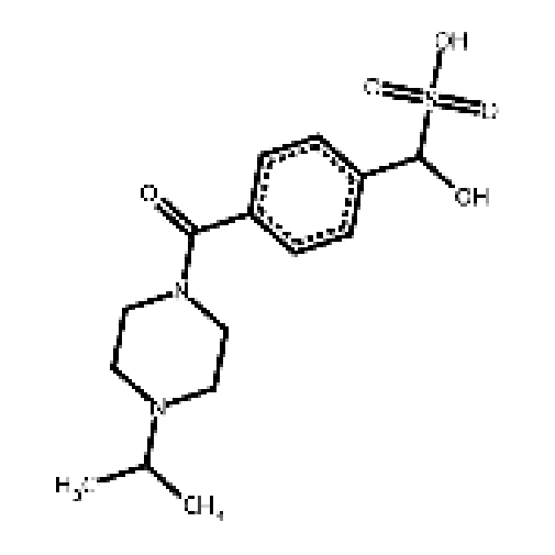 CC(C)N1CCN(C(=O)c2ccc(C(O)S(=O)(=O)O)cc2)CC1